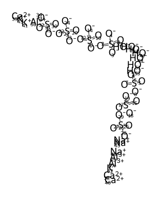 O=S(=O)([O-])[O-].O=S(=O)([O-])[O-].O=S(=O)([O-])[O-].O=S(=O)([O-])[O-].O=S(=O)([O-])[O-].O=S(=O)([O-])[O-].O=S(=O)([O-])[O-].[Al+3].[Al+3].[Al+3].[Ca+2].[Ca+2].[Ca+2].[K+].[K+].[K+].[Na+].[Na+].[Na+].[OH-].[OH-].[OH-].[OH-].[OH-].[OH-].[OH-]